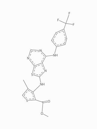 COC(=O)c1scc(C)c1Nc1nc2c(Nc3ccc(C(F)(F)F)cc3)ncnc2s1